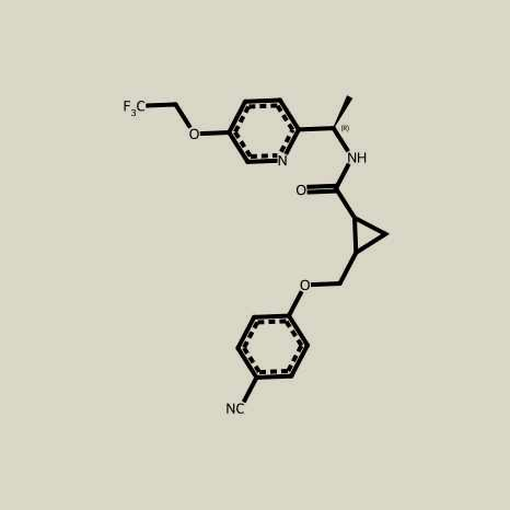 C[C@@H](NC(=O)C1CC1COc1ccc(C#N)cc1)c1ccc(OCC(F)(F)F)cn1